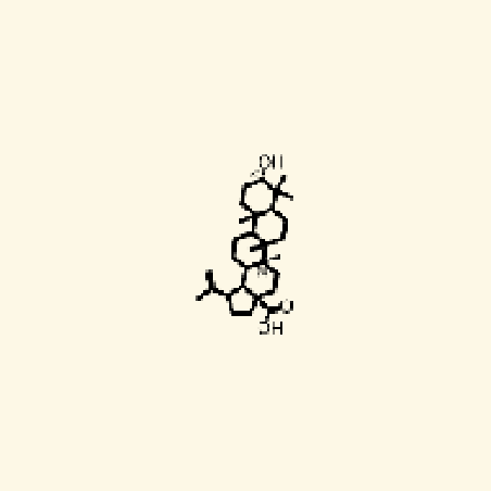 C=C(C)C1CCC2(C(=O)O)CC[C@]3(C)C(CCC4C5(C)CC[C@H](O)C(C)(C)C5CCC43C)C12